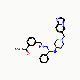 COC(=O)c1cccc(CNC[C@@H](NC2CCN(Cc3ccc4nccn4c3)CC2)c2ccccc2)c1